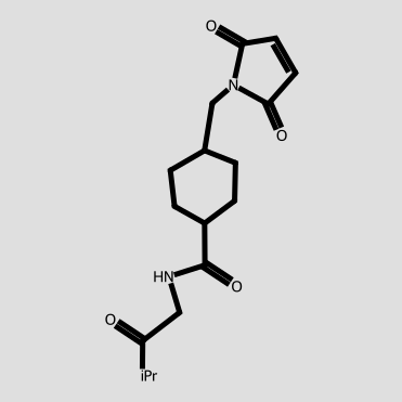 CC(C)C(=O)CNC(=O)C1CCC(CN2C(=O)C=CC2=O)CC1